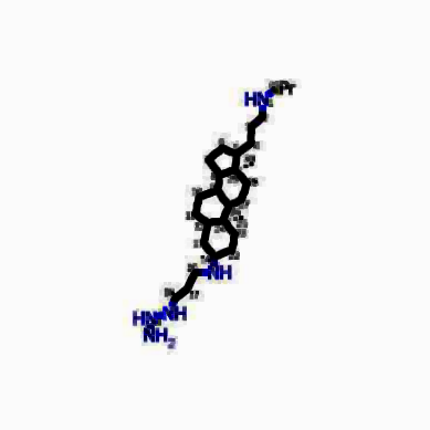 CC(C)NCCCC1CCC2C3CCC4CC(NCCCNNN)CC[C@]4(C)C3CC[C@]12C